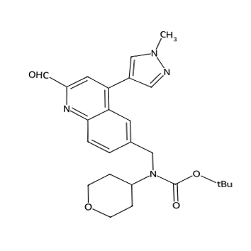 Cn1cc(-c2cc(C=O)nc3ccc(CN(C(=O)OC(C)(C)C)C4CCOCC4)cc23)cn1